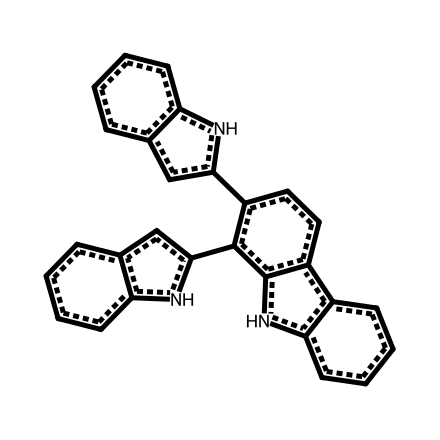 c1ccc2[nH]c(-c3ccc4c([nH]c5ccccc54)c3-c3cc4ccccc4[nH]3)cc2c1